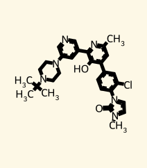 Cc1cc(-c2ccc(-n3ccn(C)c3=O)c(Cl)c2)c(O)c(-c2cncc(N3CCN(C(C)(C)C)CC3)c2)n1